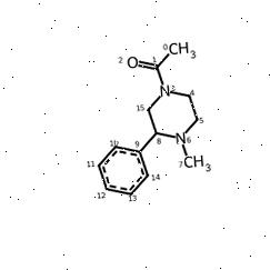 CC(=O)N1CCN(C)C(c2ccccc2)C1